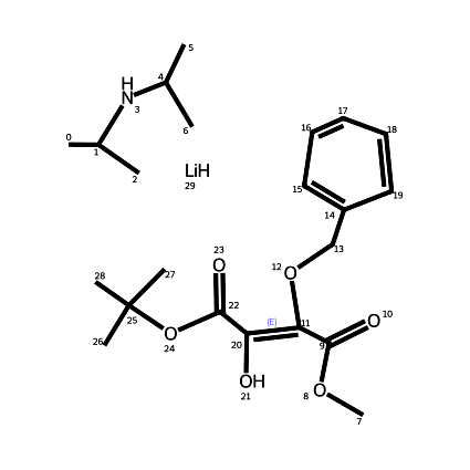 CC(C)NC(C)C.COC(=O)/C(OCc1ccccc1)=C(\O)C(=O)OC(C)(C)C.[LiH]